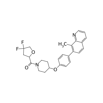 Cc1c(-c2ccc(OC3CCN(C(=O)C4CC(F)(F)CO4)CC3)cc2)ccc2cccnc12